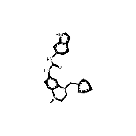 CN1CCN(Cc2ccccc2)c2cc(NC(=O)Nc3ccc4cc[nH]c4c3)ccc21